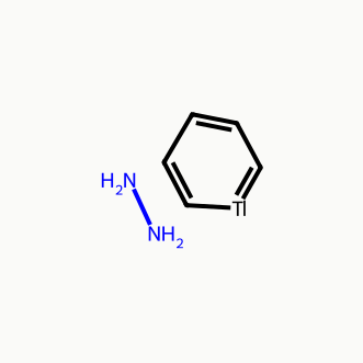 C1=C[CH]=[Tl][CH]=C1.NN